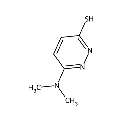 CN(C)c1ccc(S)nn1